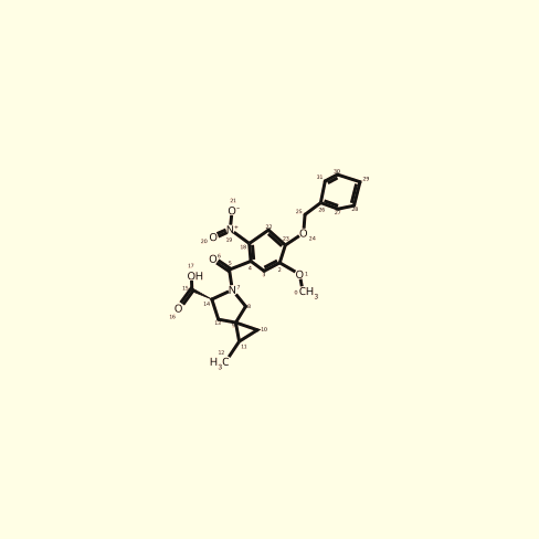 COc1cc(C(=O)N2CC3(CC3C)C[C@H]2C(=O)O)c([N+](=O)[O-])cc1OCc1ccccc1